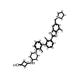 Cc1c(-c2nc3cc(CN4CCCC4)cc(C)c3o2)cccc1-c1cccc(N2CCC(NC3CC(O)C3)CC2)c1C